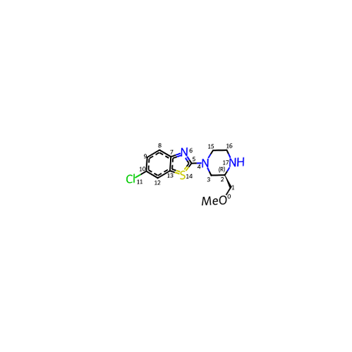 COC[C@H]1CN(c2nc3ccc(Cl)cc3s2)CCN1